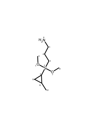 CO[Si](CCCN)(OC)C1CC1C